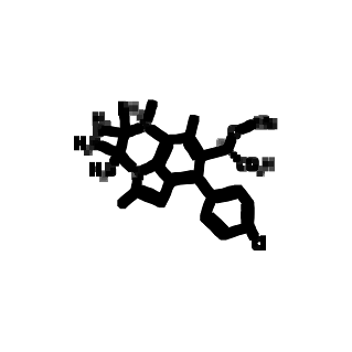 BC1(B)N(C)c2c(C)c([C@H](OC(C)(C)C)C(=O)O)c(-c3ccc(Cl)cc3)c3cc(C)n(c23)C1(B)B